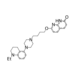 CCN1CCCc2c1cccc2N1CCN(CCCCOc2ccc3ccc(=O)[nH]c3n2)CC1